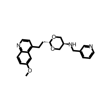 COc1ccc2nccc(CC[C@H]3OC[C@H](NCc4cccnc4)CO3)c2c1